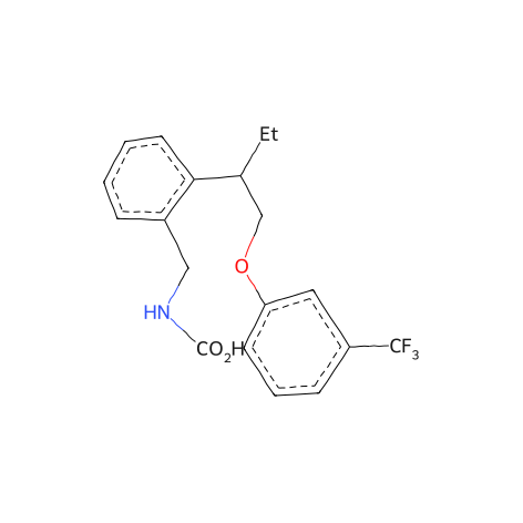 CCC(COc1cccc(C(F)(F)F)c1)c1ccccc1CNC(=O)O